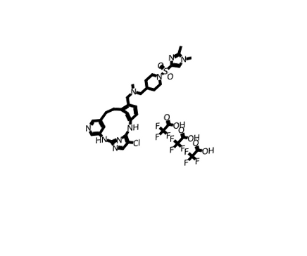 Cc1nc(S(=O)(=O)N2CCC(CN(C)Cc3ccc4cc3CCc3cncc(c3)Nc3ncc(Cl)c(n3)N4)CC2)cn1C.O=C(O)C(F)(F)F.O=C(O)C(F)(F)F.O=C(O)C(F)(F)F